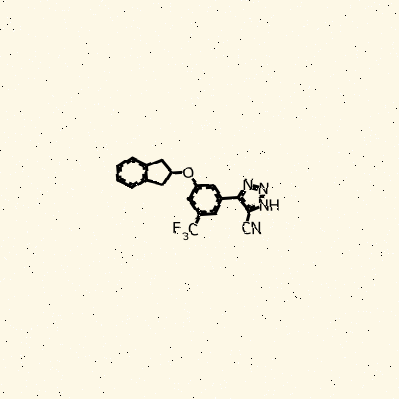 N#Cc1[nH]nnc1-c1cc(OC2Cc3ccccc3C2)cc(C(F)(F)F)c1